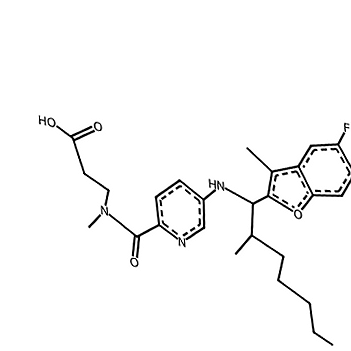 CCCCCC(C)C(Nc1ccc(C(=O)N(C)CCC(=O)O)nc1)c1oc2ccc(F)cc2c1C